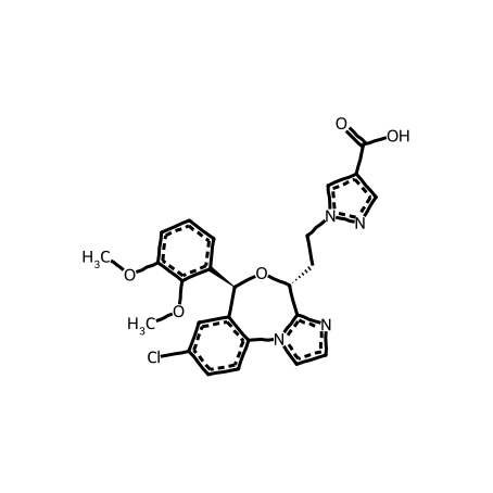 COc1cccc([C@H]2O[C@H](CCn3cc(C(=O)O)cn3)c3nccn3-c3ccc(Cl)cc32)c1OC